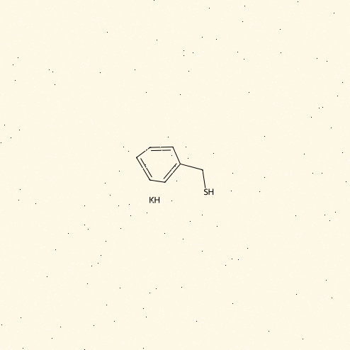 SCc1ccccc1.[KH]